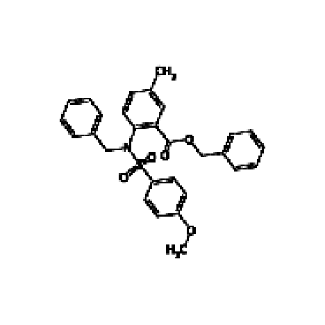 COc1ccc(S(=O)(=O)N(Cc2ccccc2)c2ccc(C)cc2C(=O)OCc2ccccc2)cc1